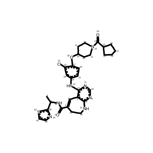 CC(NC(=O)C1=Cc2c(ncnc2Nc2ccc(OC3CCN(C(=O)C4CCCC4)CC3)c(Cl)c2)NCC1)c1nccs1